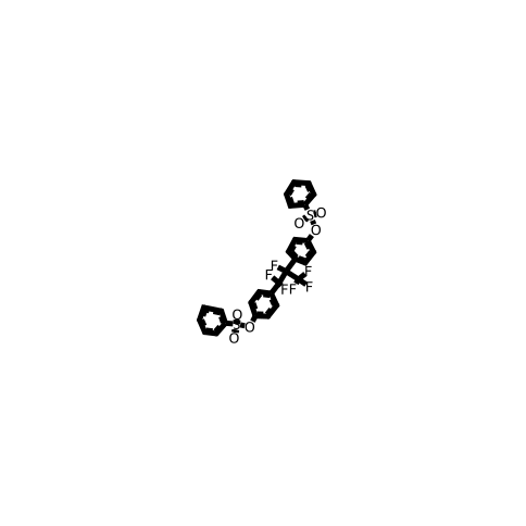 O=S(=O)(Oc1ccc(C(F)(F)C(F)(c2ccc(OS(=O)(=O)c3ccccc3)cc2)C(F)(F)F)cc1)c1ccccc1